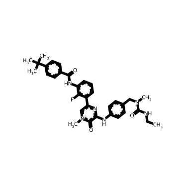 CCNC(=O)N(C)Cc1ccc(Nc2nc(-c3cccc(NC(=O)c4ccc(C(C)(C)C)cc4)c3F)cn(C)c2=O)cc1